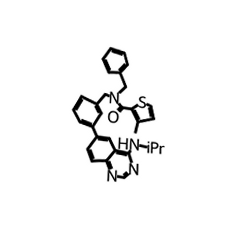 Cc1ccsc1C(=O)N(Cc1ccccc1)Cc1cccc(-c2ccc3ncnc(NC(C)C)c3c2)c1